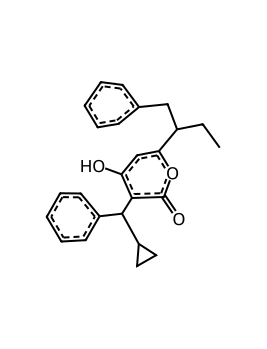 CCC(Cc1ccccc1)c1cc(O)c(C(c2ccccc2)C2CC2)c(=O)o1